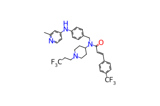 Cc1cc(Nc2ccc(CN(C(=O)C=Cc3ccc(C(F)(F)F)cc3)C3CCN(CCC(F)(F)F)CC3)cc2)ccn1